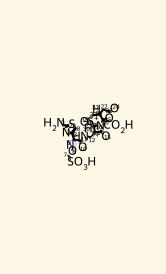 Nc1nc(/C(=N/OCS(=O)(=O)O)C(=O)NC[C@@H]2C(=O)N3[C@@H]2[S@@+]([O-])C[C@@H]2CC(=O)O[C@@]23C(=O)O)cs1